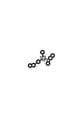 c1ccc(-c2nc(-c3ccc(-c4ccc5ccccc5c4)cc3)nc(-n3c4ccccc4c4cc5ccccc5cc43)n2)cc1